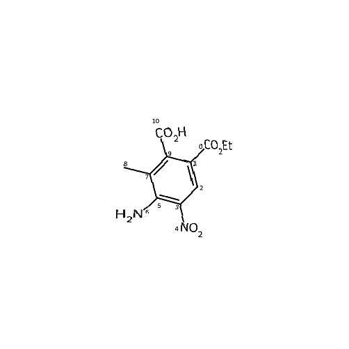 CCOC(=O)c1cc([N+](=O)[O-])c(N)c(C)c1C(=O)O